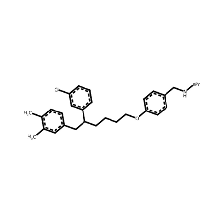 [CH2]CCNCc1ccc(OCCCCC(Cc2ccc(C)c(C)c2)c2cccc(Cl)c2)cc1